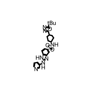 CC(C)(C)c1nnc(C2CCC(NS(=O)(=O)c3ccc4[nH]c(Nc5cccnc5)nc4c3)CC2)o1